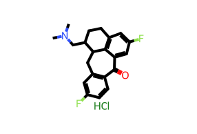 CN(C)CC1CCc2cc(F)cc3c2C1Cc1cc(F)ccc1C3=O.Cl